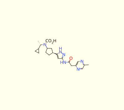 Cc1cnc(CC(=O)Nc2cc([C@H]3CC[C@@H](N(C(=O)O)[C@@H](C)C4CC4)C3)[nH]n2)cn1